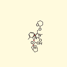 Cc1ccccc1COC1CC2CCC(C1)N2CC(O)Cn1nc(COC2CCCCO2)n(C)c1=O